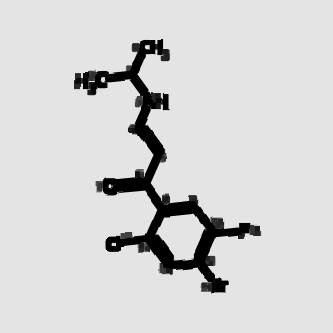 CC(C)N/C=C/C(=O)c1cc(F)c(Br)cc1Cl